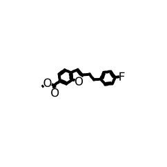 COC(=O)c1ccc2cc(CCc3ccc(F)cc3)oc2c1